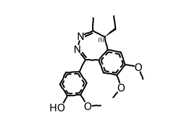 CC[C@@H]1C(C)=NN=C(c2ccc(O)c(OC)c2)c2cc(OC)c(OC)cc21